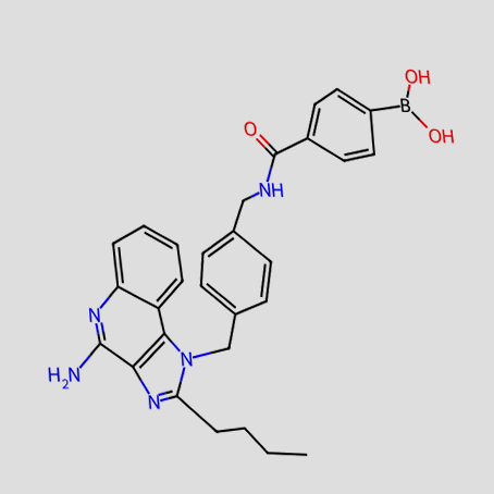 CCCCc1nc2c(N)nc3ccccc3c2n1Cc1ccc(CNC(=O)c2ccc(B(O)O)cc2)cc1